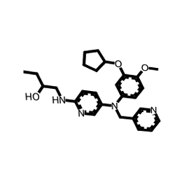 CCC(O)CNc1ccc(N(Cc2cccnc2)c2ccc(OC)c(OC3CCCC3)c2)cn1